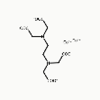 O=C([O-])CN(CCN(CC(=O)[O-])CC(=O)[O-])CC(=O)[O-].[Co+2].[Co+2]